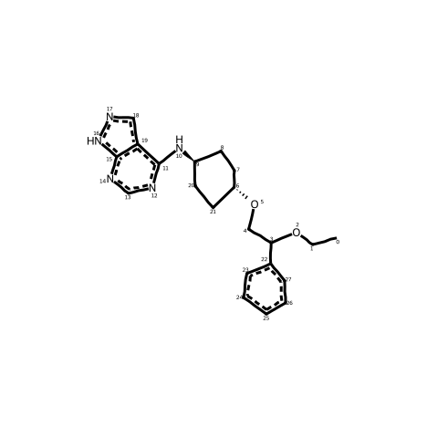 CCOC(CO[C@H]1CC[C@H](Nc2ncnc3[nH]ncc23)CC1)c1ccccc1